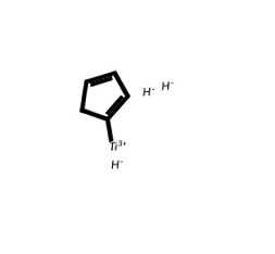 [H-].[H-].[H-].[Ti+3][C]1=CC=CC1